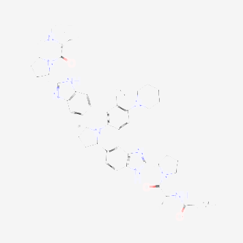 COC(=O)N[C@H](C(=O)N1CCC[C@H]1c1nc2cc([C@H]3CC[C@H](c4ccc5[nH]c([C@@H]6CCCN6C(=O)[C@H](C(C)C)N(C)C(=O)O)nc5c4)N3c3ccc(N4CCCCC4)c(C#N)c3)ccc2[nH]1)C(C)C